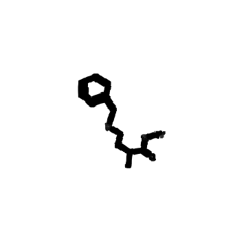 CC(C)OC(=O)C(C)CCOCc1ccccc1